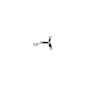 O=[Si]([O-])[O-].[Cd+2]